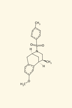 COc1ccc2c(c1)[C@H]1C[C@@H](C2)N(S(=O)(=O)c2ccc(C)cc2)C[C@H]1C